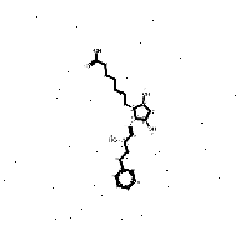 O=C(O)CCCCCC[C@@H]1[C@@H](C=C[C@@H](O)CCc2ccccc2)[C@H](O)C[C@@H]1O